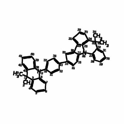 CC1(C)c2ccccc2N(c2ccc(-c3ccc4c(c3)c3cccc5c3n4-c3ccccc3C5(C)C)cc2)c2ccccc21